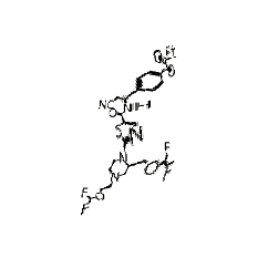 CCS(=O)(=O)c1ccc([C@H](CC#N)NC(=O)c2cnc(N3CCN(CCOC(F)F)CC3COC(F)F)s2)cc1